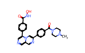 CN1CCN(C(=O)c2ccc(C3=CN4C(=C=NC=C4c4ccc(C(=O)NO)cc4)C=N3)cc2)CC1